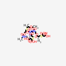 C=CNC(=O)OCC(CSCC(C)C(=O)OC(=C)OC(=O)NCCOC(=O)C(C)CSC(CC(=O)O)C(=O)O)OC(=O)NCCOC(=O)C(C)CSC(CC(=O)O)C(=O)O